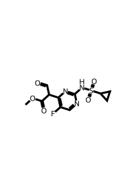 COC(=O)C(C=O)c1nc(NS(=O)(=O)C2CC2)ncc1F